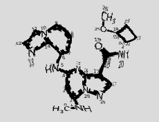 CNc1cc(Nc2cccn3ccnc23)nc2c(C(=O)N[C@H]3CC[C@@H]3OC)cnn12